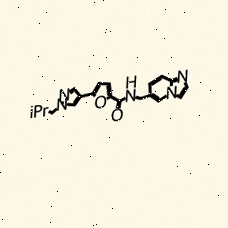 CC(C)Cn1cc(-c2ccc(C(=O)NCc3ccc4nccn4c3)o2)cn1